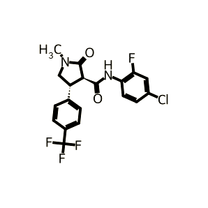 CN1C[C@@H](c2ccc(C(F)(F)F)cc2)[C@H](C(=O)Nc2ccc(Cl)cc2F)C1=O